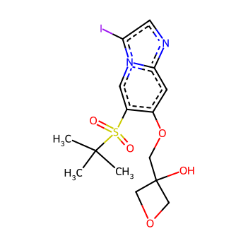 CC(C)(C)S(=O)(=O)c1cn2c(I)cnc2cc1OCC1(O)COC1